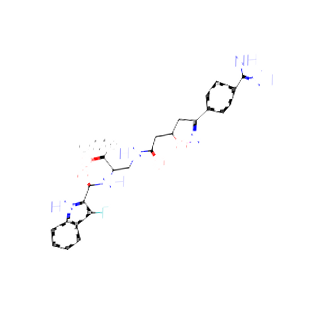 COC(=O)C(CNC(=O)CC1CC(c2ccc(C(=N)N)cc2)=NO1)NC(=O)c1[nH]c2ccccc2c1F